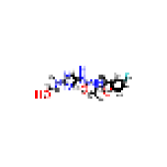 Cc1c([C@@H](NC(=O)Nc2cnc(N(C)CCO)nc2)C(C)C)oc2ccc(F)cc12